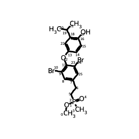 COP(C)(=O)CCc1cc(Br)c(Oc2ccc(O)c(C(C)C)c2)c(Br)c1